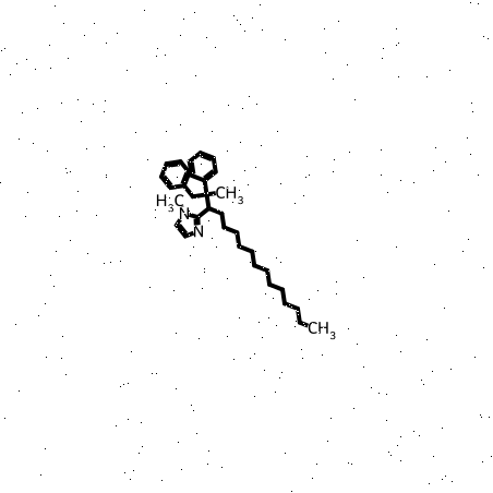 CCCCCCCCCCCCCC(c1nccn1C)C(C)(Cc1ccccc1)c1ccccc1